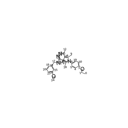 CCOc1ccc(-n2c(C)c3c(C)nnc(NCc4cccc(OC)c4)c3c2C)cc1